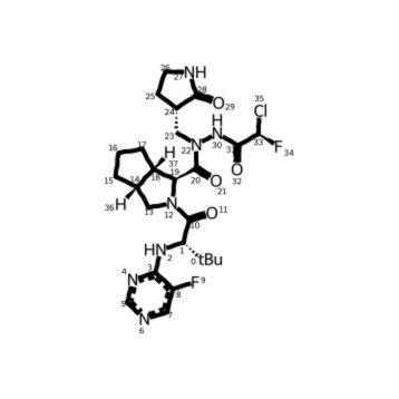 CC(C)(C)[C@H](Nc1ncncc1F)C(=O)N1C[C@@H]2CCC[C@@H]2[C@H]1C(=O)N(C[C@@H]1CCNC1=O)NC(=O)[C@H](F)Cl